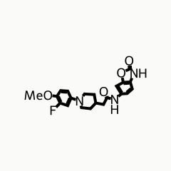 COc1ccc(N2CCC(CC(=O)Nc3ccc4[nH]c(=O)oc4c3)CC2)cc1F